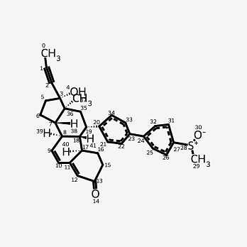 CC#C[C@]1(O)CC[C@H]2[C@@H]3C=CC4=CC(=O)CC[C@@H]4[C@H]3[C@@H](c3ccc(-c4ccc([S+](C)[O-])cc4)cc3)C[C@@]21C